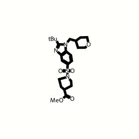 COC(=O)C1CCN(S(=O)(=O)c2ccc3c(c2)nc(C(C)(C)C)n3CC2CCOCC2)CC1